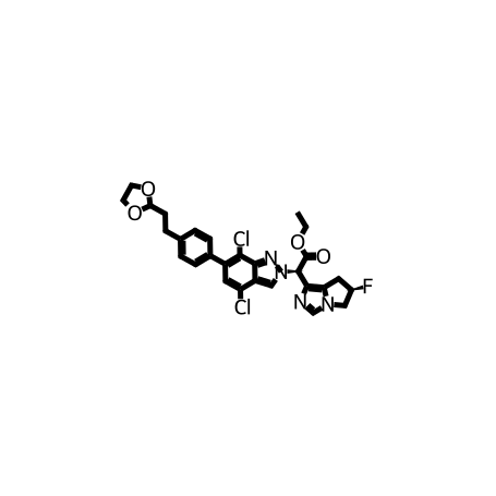 CCOC(=O)[C@@H](c1ncn2c1C[C@@H](F)C2)n1cc2c(Cl)cc(-c3ccc(CCC4OCCO4)cc3)c(Cl)c2n1